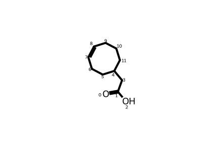 O=C(O)CC1CCC=CCCC1